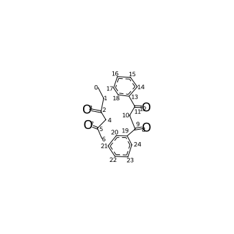 CCC(=O)CC(C)=O.O=C(CC(=O)c1ccccc1)c1ccccc1